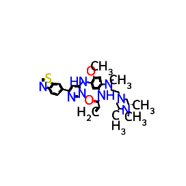 C=CC(=O)Nc1cc(Nc2cc(-c3ccc4ncsc4c3)ncn2)c(OC)cc1N(C)CCN1C[C@@H](C)N(C)[C@@H](C)C1